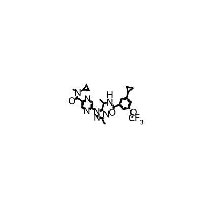 Cc1nc(C(C)NC(=O)c2cc(OC(F)(F)F)cc(C3CC3)c2)n(-c2cnc(C(=O)N(C)C3CC3)cn2)n1